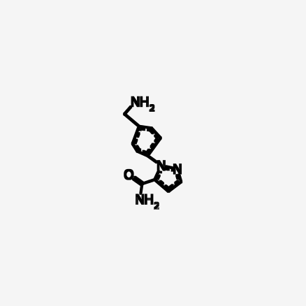 NCc1ccc(-n2nccc2C(N)=O)cc1